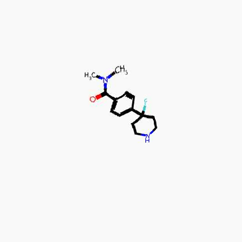 CN(C)C(=O)c1ccc(C2(F)CCNCC2)cc1